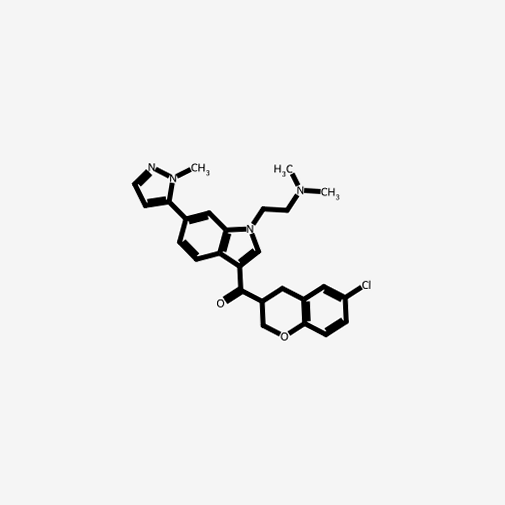 CN(C)CCn1cc(C(=O)C2COc3ccc(Cl)cc3C2)c2ccc(-c3ccnn3C)cc21